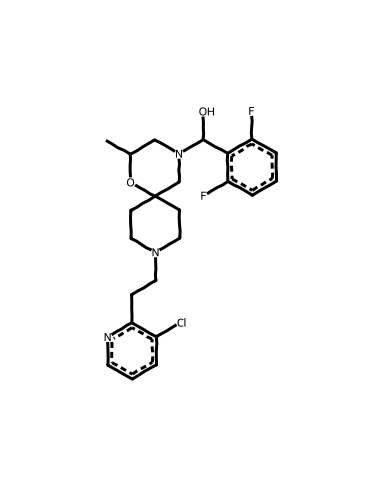 CC1CN(C(O)c2c(F)cccc2F)CC2(CCN(CCc3ncccc3Cl)CC2)O1